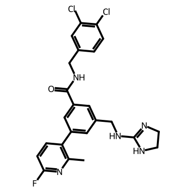 Cc1nc(F)ccc1-c1cc(CNC2=NCCN2)cc(C(=O)NCc2ccc(Cl)c(Cl)c2)c1